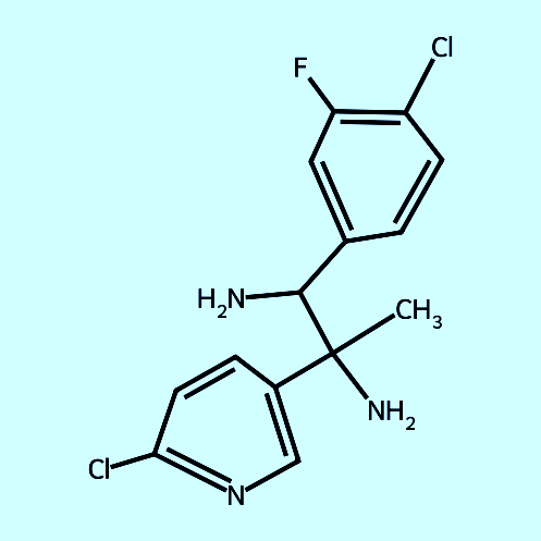 CC(N)(c1ccc(Cl)nc1)C(N)c1ccc(Cl)c(F)c1